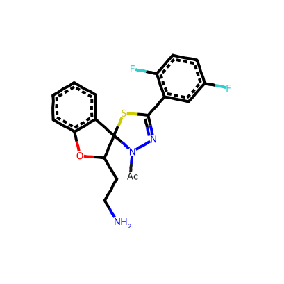 CC(=O)N1N=C(c2cc(F)ccc2F)SC12c1ccccc1OC2CCN